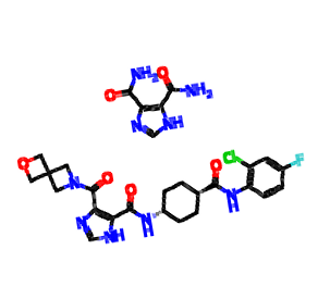 NC(=O)c1nc[nH]c1C(N)=O.O=C(N[C@H]1CC[C@H](C(=O)Nc2ccc(F)cc2Cl)CC1)c1[nH]cnc1C(=O)N1CC2(COC2)C1